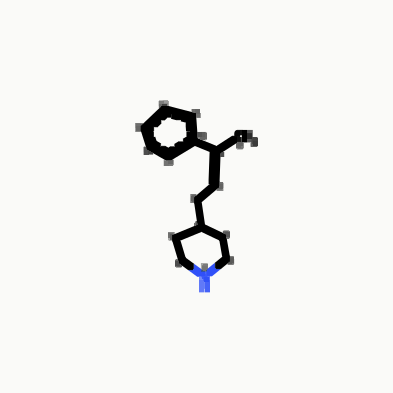 C/C(=C/CC1CCNCC1)c1ccccc1